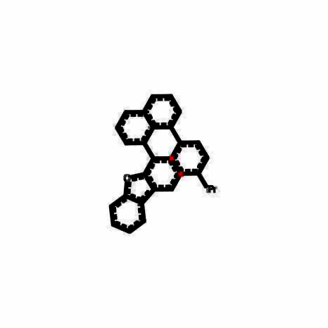 CC(C)c1ccc(-c2cccc3cccc(-c4cccc5c4oc4ccccc45)c23)cc1